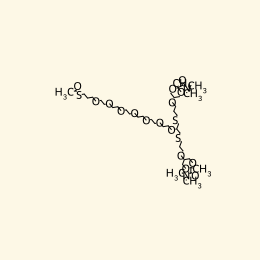 CC(=O)SCCCOCCOCCOCCOCCOCCOCCOC(CSCCCOC1COC(C)(C(=O)N(C)C)OC1)CSCCCOC1COC(C)(C(=O)N(C)C)OC1